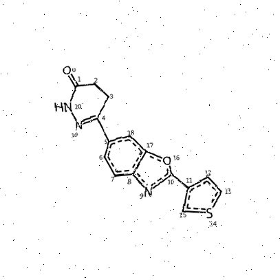 O=C1CCC(c2ccc3nc(-c4ccsc4)oc3c2)=NN1